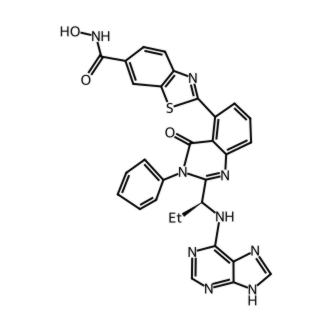 CC[C@H](Nc1ncnc2[nH]cnc12)c1nc2cccc(-c3nc4ccc(C(=O)NO)cc4s3)c2c(=O)n1-c1ccccc1